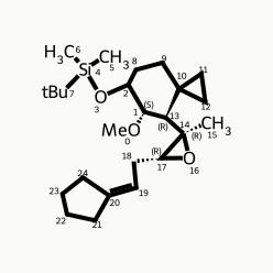 CO[C@@H]1C(O[Si](C)(C)C(C)(C)C)CCC2(CC2)[C@H]1[C@@]1(C)O[C@@H]1CC=C1CCCC1